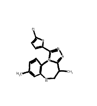 Cc1ccc2c(c1)NCC(C)c1nnc(-c3ccc(Cl)s3)n1-2